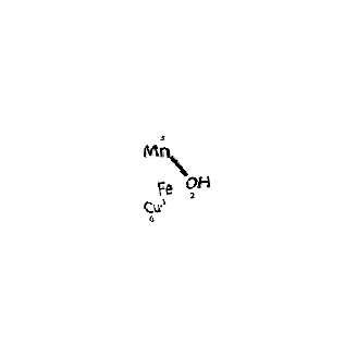 [Cu].[Fe].[OH][Mn]